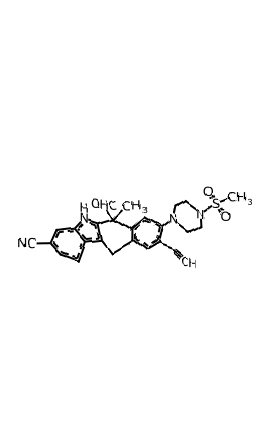 C#Cc1cc2c(cc1N1CCN(S(C)(=O)=O)CC1)C(C)(C=O)c1[nH]c3cc(C#N)ccc3c1C2